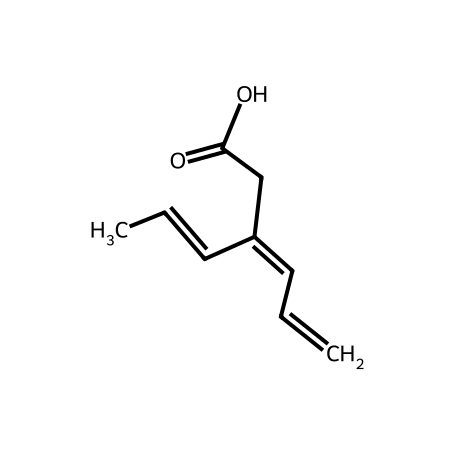 C=CC=C(C=CC)CC(=O)O